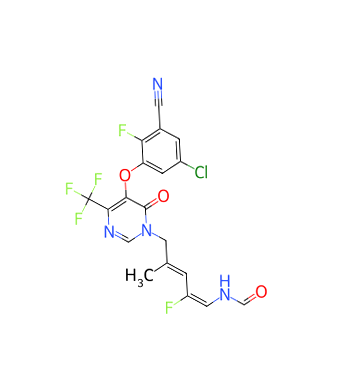 C/C(=C\C(F)=C/NC=O)Cn1cnc(C(F)(F)F)c(Oc2cc(Cl)cc(C#N)c2F)c1=O